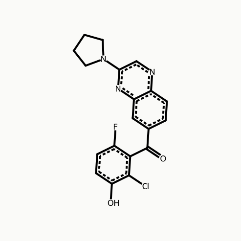 O=C(c1ccc2ncc(N3CCCC3)nc2c1)c1c(F)ccc(O)c1Cl